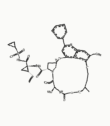 C=C[C@@H]1C[C@]1(NC(=O)[C@@H]1C[C@@H]2CN1C(=O)[C@H](C(C)(C)C)NC(=O)OCC(C)CCCc1cc3c(cc(-c4ccccc4)nc3cc1OC)O2)C(=O)NS(=O)(=O)C1CC1